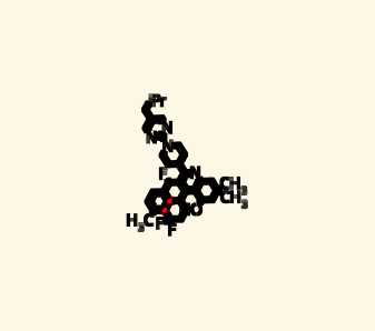 Cc1ccc(C(F)c2c(C3CCN(c4ncc(CC(C)C)cn4)CC3)nc3c(c2C2CCC(F)(F)CC2)C(O)CC(C)(C)C3)cc1